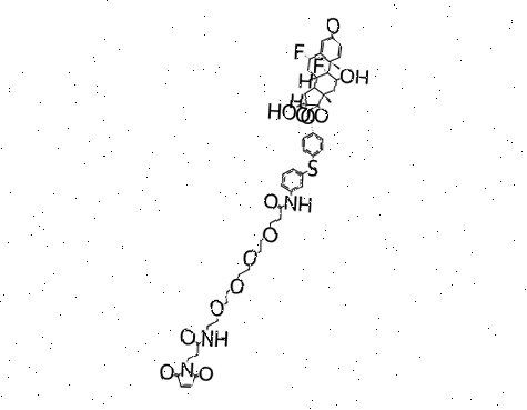 C[C@]12C=CC(=O)C=C1[C@@H](F)C[C@H]1C3C[C@H]4O[C@@H](c5ccc(Sc6cccc(NC(=O)CCOCCOCCOCCOCCNC(=O)CCN7C(=O)C=CC7=O)c6)cc5)O[C@@]4(C(=O)CO)[C@@]3(C)C[C@H](O)[C@@]12F